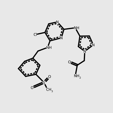 CS(=O)(=O)c1cccc(CNc2nc(Nc3cnn(CC(N)=O)c3)ncc2Cl)c1